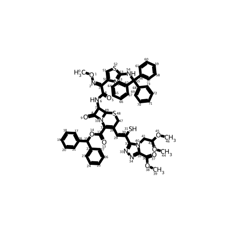 CON=C(C(=O)NC1C(=O)N2C(C(=O)OC(c3ccccc3)c3ccccc3)=C(C=C(S)c3nnc(C(=O)OC)n3CC(OC)OC)CSC12)c1csc(NC(c2ccccc2)(c2ccccc2)c2ccccc2)n1